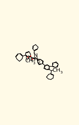 C=C/C=C(\C=C/CC(/C=C(\N=C\C1=CCCC=C1)c1ccc(-c2ccc(C(C)C3=CCCCCC3)c(-c3ccccc3)c2)cc1)=N/C)C1=CC=CCCC1